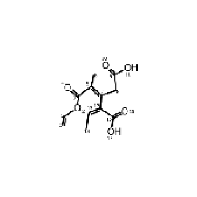 C=COC(=O)C(C)=C(CC(=O)O)C(=CC)C(=O)O